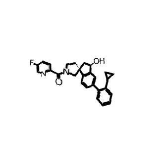 O=C(c1ccc(F)cn1)N1CC[C@@]2(C[C@@H](O)c3cc(-c4ccccc4C4CC4)ccc32)C1